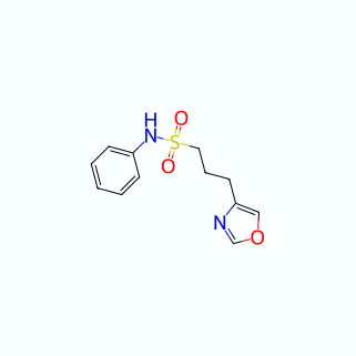 O=S(=O)(CCCc1cocn1)Nc1ccccc1